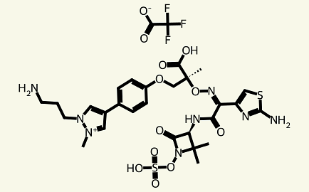 C[n+]1cc(-c2ccc(OC[C@](C)(O/N=C(\C(=O)N[C@@H]3C(=O)N(OS(=O)(=O)O)C3(C)C)c3csc(N)n3)C(=O)O)cc2)cn1CCCN.O=C([O-])C(F)(F)F